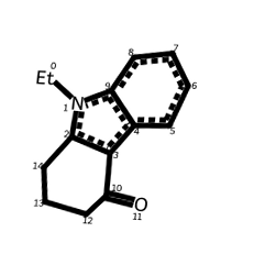 CCn1c2c(c3ccccc31)C(=O)CCC2